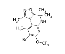 Cc1c(Br)c(OC(F)(F)F)cc2c1-n1c(C)nnc1C(C)(C)N2